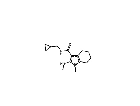 CNc1c(C(=O)NCC2CC2)c2c(p1C)CCCC2